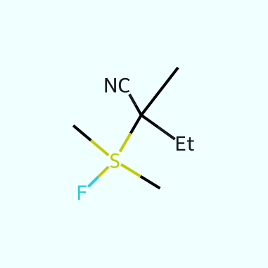 CCC(C)(C#N)S(C)(C)F